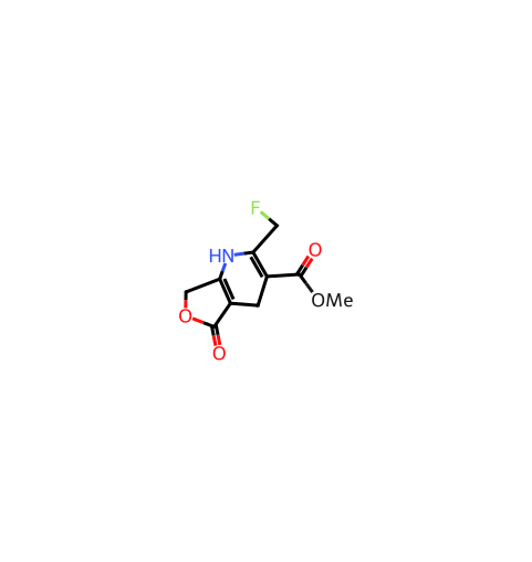 COC(=O)C1=C(CF)NC2=C(C1)C(=O)OC2